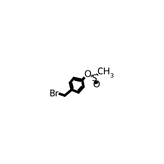 CS(=O)Oc1ccc(CBr)cc1